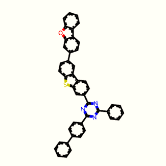 c1ccc(-c2ccc(-c3nc(-c4ccccc4)nc(-c4ccc5c(c4)sc4ccc(-c6ccc7c(c6)oc6ccccc67)cc45)n3)cc2)cc1